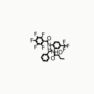 CCC(O)C(=O)N(Cc1ccccc1)c1cc(C(F)(F)F)ccc1NC(=O)c1c(F)c(F)c(F)c(F)c1F